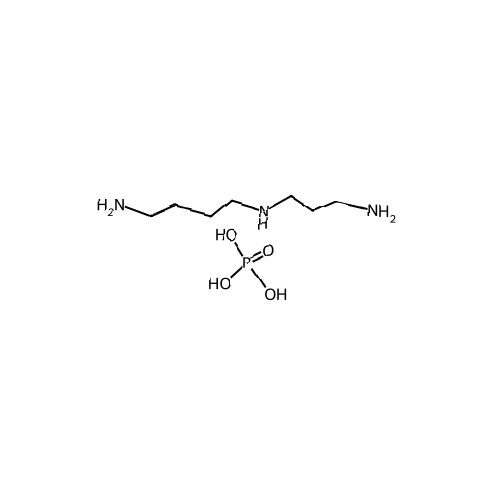 NCCCCNCCCN.O=P(O)(O)O